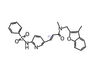 Cc1c(CN(C)C(=O)/C=C/c2ccc(NS(=O)(=O)c3ccccc3)nc2)oc2ccccc12